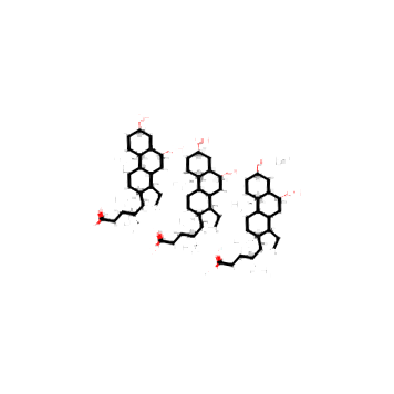 C[C@H](CCC(=O)[O-])[C@H]1CCC2C3C[C@H](O)C4C[C@H](O)CC[C@]4(C)C3CC[C@@]21C.C[C@H](CCC(=O)[O-])[C@H]1CCC2C3C[C@H](O)C4C[C@H](O)CC[C@]4(C)C3CC[C@@]21C.C[C@H](CCC(=O)[O-])[C@H]1CCC2C3C[C@H](O)C4C[C@H](O)CC[C@]4(C)C3CC[C@@]21C.[Fe+3]